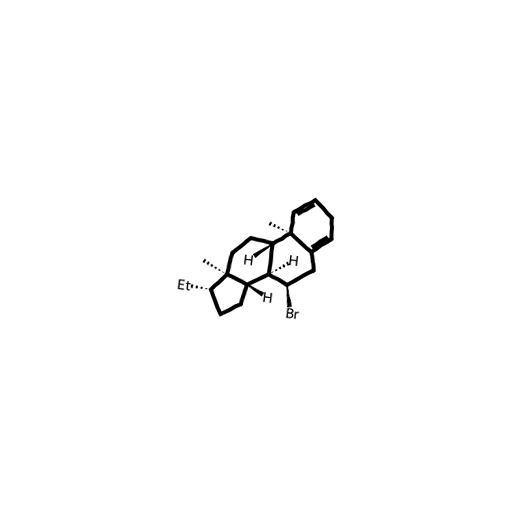 CC[C@H]1CC[C@H]2[C@@H]3[C@H](Br)CC4=CCC=C[C@]4(C)[C@H]3CC[C@]12C